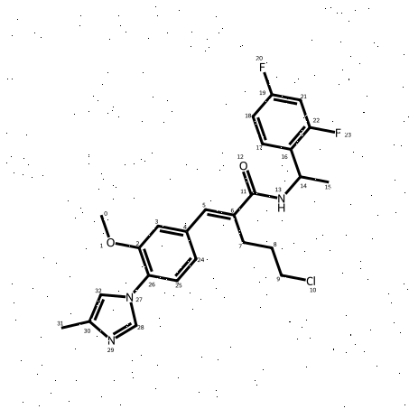 COc1cc(/C=C(\CCCCl)C(=O)NC(C)c2ccc(F)cc2F)ccc1-n1cnc(C)c1